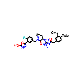 COc1ccc(CC(=O)N=C(N)N[C@H](CC(C)C)C(=O)NCc2ccc(F)c(-c3nnc(O)o3)c2)cc1OC